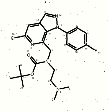 CN(C)CCN(Cc1nc(Cl)cc2cnn(-c3ccc(F)cc3)c12)C(=O)OC(C)(C)C